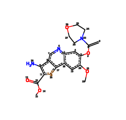 C=C(Oc1cc2ncc3c(N)c(C(=O)OC)sc3c2cc1OC)N1CCOCC1